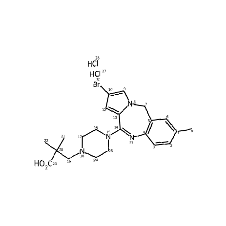 Cc1ccc2c(c1)Cn1cc(Br)cc1C(N1CCN(CC(C)(C)C(=O)O)CC1)=N2.Cl.Cl